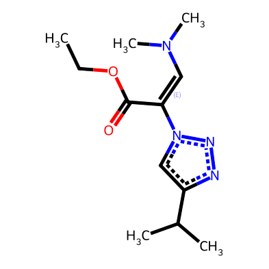 CCOC(=O)/C(=C\N(C)C)n1cc(C(C)C)nn1